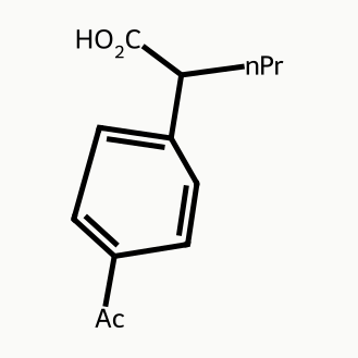 CCCC(C(=O)O)c1ccc(C(C)=O)cc1